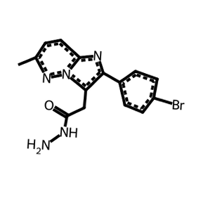 Cc1ccc2nc(-c3ccc(Br)cc3)c(CC(=O)NN)n2n1